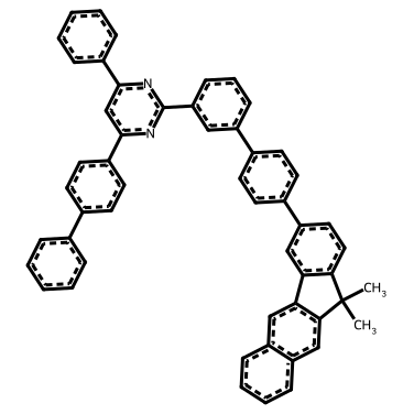 CC1(C)c2ccc(-c3ccc(-c4cccc(-c5nc(-c6ccccc6)cc(-c6ccc(-c7ccccc7)cc6)n5)c4)cc3)cc2-c2cc3ccccc3cc21